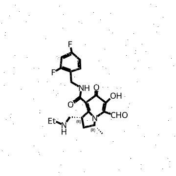 CCNC[C@H]1C[C@@H](C)n2c(C=O)c(O)c(=O)c(C(=O)NCc3ccc(F)cc3F)c21